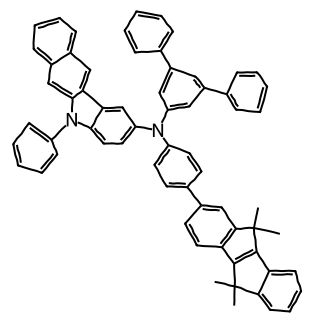 CC1(C)C2=C(c3ccccc31)C(C)(C)c1cc(-c3ccc(N(c4cc(-c5ccccc5)cc(-c5ccccc5)c4)c4ccc5c(c4)c4cc6ccccc6cc4n5-c4ccccc4)cc3)ccc12